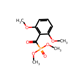 COc1cccc(OC)c1C(=O)P(=O)(OC)OC